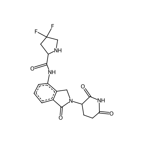 O=C1CCC(N2Cc3c(NC(=O)C4CC(F)(F)CN4)cccc3C2=O)C(=O)N1